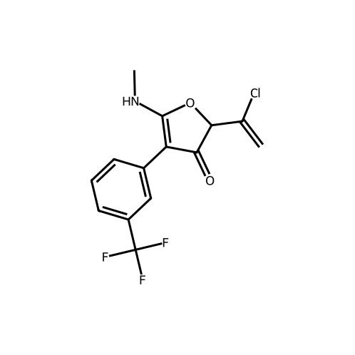 C=C(Cl)C1OC(NC)=C(c2cccc(C(F)(F)F)c2)C1=O